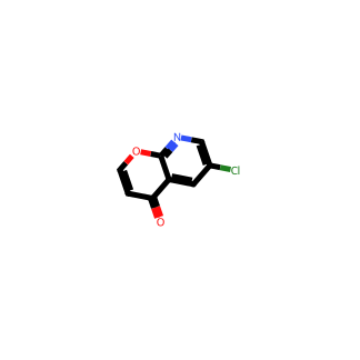 O=c1ccoc2ncc(Cl)cc12